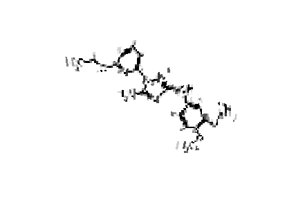 CCOc1cccc(-n2nc(Nc3ccc(OC)c(OC)c3)nc2N)n1